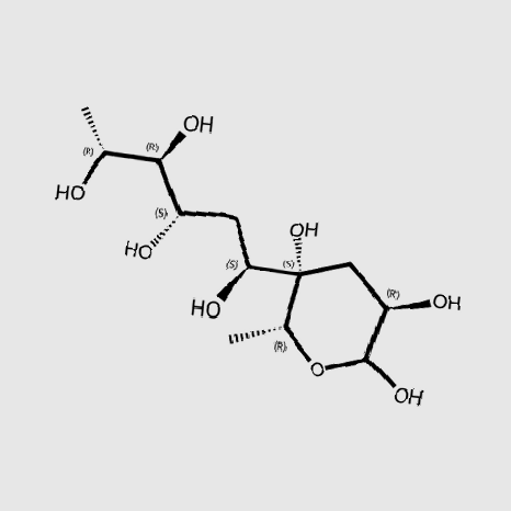 C[C@@H](O)[C@@H](O)[C@@H](O)C[C@H](O)[C@@]1(O)C[C@@H](O)C(O)O[C@@H]1C